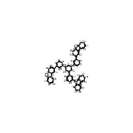 c1cc(-c2cc(-c3cccc(-c4ccc5oc6ccccc6c5c4)c3)cc(-c3cccc(-n4c5ccccc5c5ccccc54)c3)c2)cc(-c2ccc3oc4ccccc4c3c2)c1